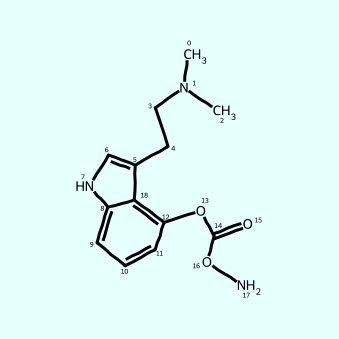 CN(C)CCc1c[nH]c2cccc(OC(=O)ON)c12